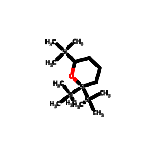 C[Si](C)(C)C1CCC[Si]([Si](C)(C)C)([Si](C)(C)C)O1